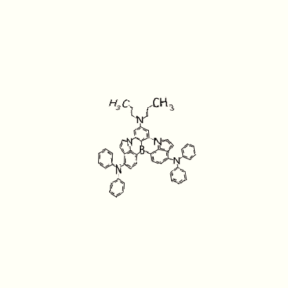 CCCN(CCC)c1cc2c3c(c1)-n1ccc4c(N(c5ccccc5)c5ccccc5)ccc(c41)B3c1ccc(N(c3ccccc3)c3ccccc3)c3ccn-2c13